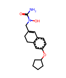 NC(=O)N(O)CC1=Cc2ccc(OC3CCCC3)cc2CC1